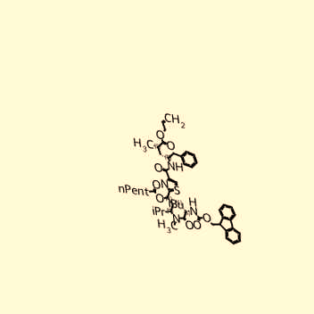 C=CCOC(=O)[C@@H](C)C[C@H](Cc1ccccc1)NC(=O)c1csc([C@@H](C[C@H](C(C)C)N(C)C(=O)[C@@H](NC(=O)OCC2c3ccccc3-c3ccccc32)[C@@H](C)CC)OC(=O)CCCCC)n1